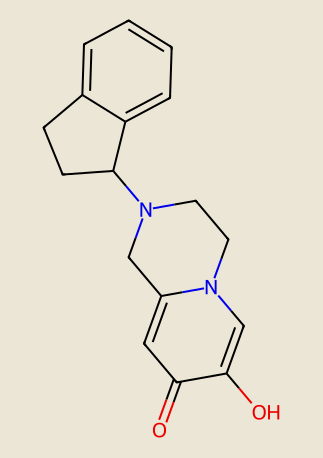 O=c1cc2n(cc1O)CCN(C1CCc3ccccc31)C2